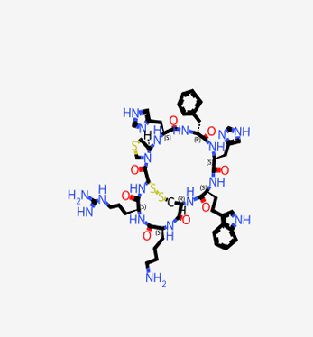 N=C(N)NCCC[C@@H]1NC(=O)[C@H](CCCCN)NC(=O)[C@@H]2CSSC(NC1=O)C(=O)N1CSC[C@H]1N[C@@H](Cc1c[nH]cn1)C(=O)N[C@H](Cc1ccccc1)C(=O)N[C@@H](Cc1c[nH]cn1)C(=O)N[C@@H](CCc1c[nH]c3ccccc13)C(=O)N2